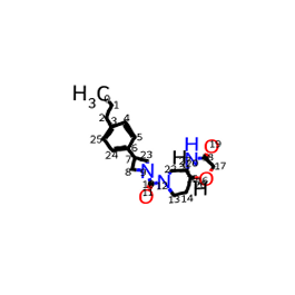 CCCc1ccc(C2CN(C(=O)N3CC[C@@H]4OCC(=O)N[C@@H]4C3)C2)cc1